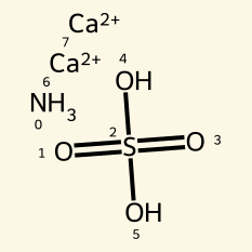 N.O=S(=O)(O)O.[Ca+2].[Ca+2]